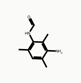 Cc1cc(C)c(NC=O)c(C)c1N